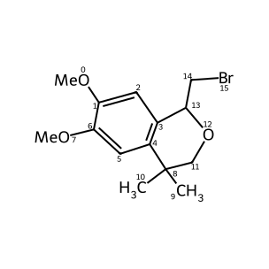 COc1cc2c(cc1OC)C(C)(C)COC2CBr